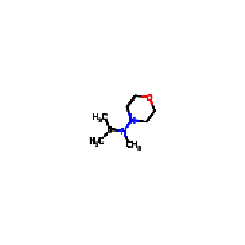 CB(C)N(C)N1CCOCC1